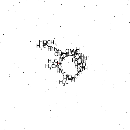 C=C1C[C@@H]2CC[C@@]34C[C@H]5O[C@@H]6[C@@H](O3)[C@H]3O[C@H](CC[C@@H]3O[C@H]6C5O4)CC(=O)C[C@@H]3[C@@H](OC)[C@@H](C[C@H](O)CNCC[Si](C)(C)O)O[C@H]3C[C@H]3O[C@@H](CC[C@@H]1O2)C[C@@H](C)C3=C